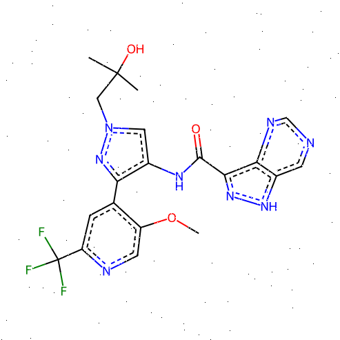 COc1cnc(C(F)(F)F)cc1-c1nn(CC(C)(C)O)cc1NC(=O)c1n[nH]c2cncnc12